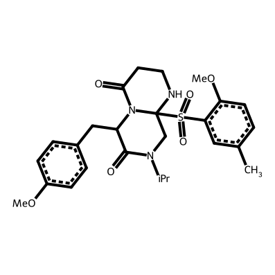 COc1ccc(CC2C(=O)N(C(C)C)CC3(S(=O)(=O)c4cc(C)ccc4OC)NCCC(=O)N23)cc1